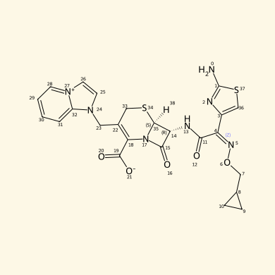 Nc1nc(/C(=N/OCC2CC2)C(=O)N[C@@H]2C(=O)N3C(C(=O)[O-])=C(Cn4cc[n+]5ccccc45)CS[C@@H]23)cs1